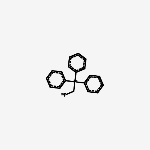 [18F]C[P+](c1ccccc1)(c1ccccc1)c1ccccc1